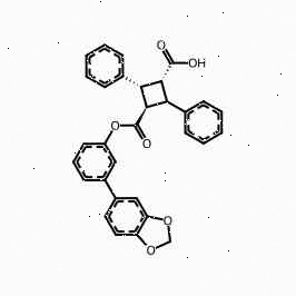 O=C(O)[C@@H]1C(c2ccccc2)[C@@H](C(=O)Oc2cccc(-c3ccc4c(c3)OCO4)c2)[C@@H]1c1ccccc1